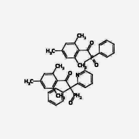 Cc1cc(C)c(C(=O)C([PH2]=O)(c2ccccc2)c2cccc(CP(=O)(C(=O)c3c(C)cc(C)cc3C)c3ccccc3)n2)c(C)c1